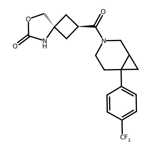 O=C1N[C@]2(CO1)C[C@H](C(=O)N1CCC3(c4ccc(C(F)(F)F)cc4)CC3C1)C2